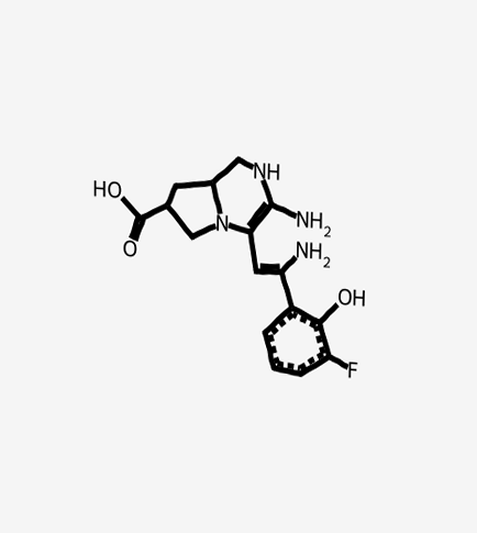 NC1=C(/C=C(\N)c2cccc(F)c2O)N2CC(C(=O)O)CC2CN1